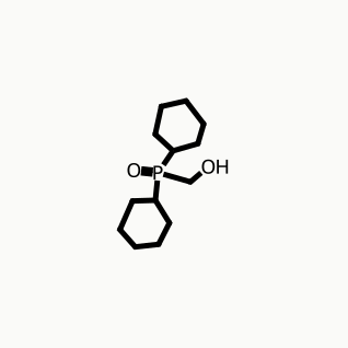 O=P(CO)(C1CCCCC1)C1CCCCC1